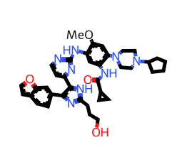 COc1cc(N2CCN(C3CCCC3)CC2)c(NC(=O)C2CC2)cc1Nc1nccc(-c2[nH]c(CCCO)nc2-c2ccc3ccoc3c2)n1